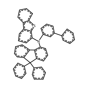 c1ccc(-c2cccc(N(c3cccc4c3-c3ccccc3C4(c3ccccc3)c3ccccc3)c3cccc4c3sc3ccccc34)c2)cc1